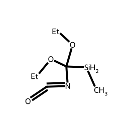 CCOC(N=C=O)(OCC)[SiH2]C